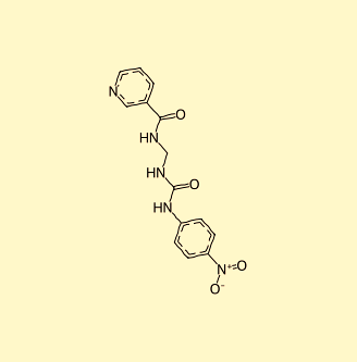 O=C(NCNC(=O)c1cccnc1)Nc1ccc([N+](=O)[O-])cc1